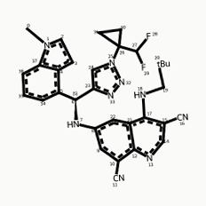 Cn1ccc2c([C@H](Nc3cc(C#N)c4ncc(C#N)c(NCC(C)(C)C)c4c3)c3cn(C4(C(F)F)CC4)nn3)cccc21